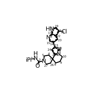 CC(C)NC(=O)N1CCC2(CCCn3nc(-c4cnc5[nH]cc(Cl)c5c4)cc32)CC1